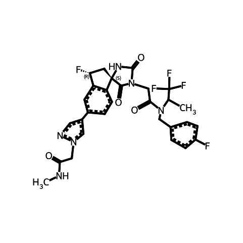 CNC(=O)Cn1cc(-c2ccc3c(c2)[C@H](F)C[C@]32NC(=O)N(CC(=O)N(Cc3ccc(F)cc3)C(C)C(F)(F)F)C2=O)cn1